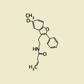 C=CCC(=O)NCCc1c(-c2ccccc2)oc2ccc(OC)cc12